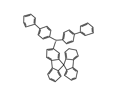 C1=C2C(=CCC1)C1(c3ccccc32)c2ccccc2-c2ccc(N(c3ccc(-c4ccccc4)cc3)c3ccc(-c4ccccc4)cc3)cc21